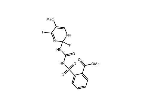 COC(=O)c1ccccc1S(=O)(=O)NC(=O)NC1(F)N=C(F)C(OC)=CN1